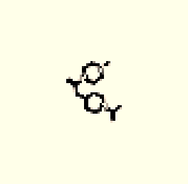 C=C(CC1CCN(C(C)C)CC1)N1CCN(C)CC1